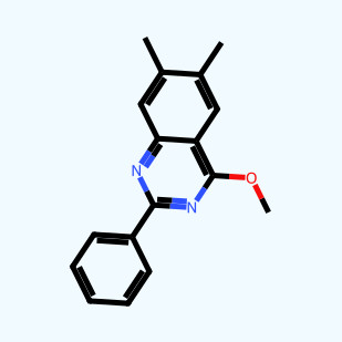 COc1nc(-c2ccccc2)nc2cc(C)c(C)cc12